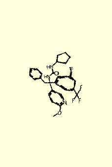 COc1ccc(C(Cc2ccccc2)(NC(=O)NC2CCCC2)c2cc(F)cc(C(F)(F)F)c2)cn1